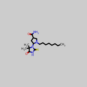 CCCCCCCCN1CC(C(N)=O)CC1N1C(=S)NC(=O)C1(C)C